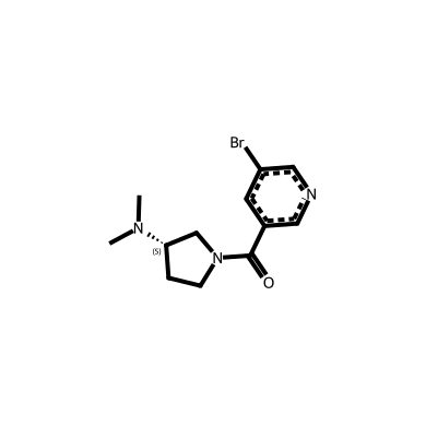 CN(C)[C@H]1CCN(C(=O)c2cncc(Br)c2)C1